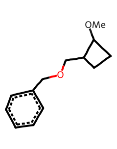 COC1CCC1COCc1ccccc1